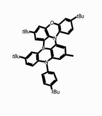 Cc1cc2c3c(c1)N1c4ccc(C(C)(C)C)cc4Oc4cc(C(C)(C)C)cc(c41)B3c1cc(C(C)(C)C)ccc1N2c1ccc(C(C)(C)C)cc1